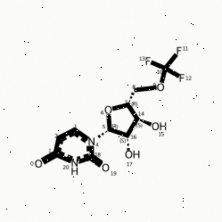 O=c1ccn([C@@H]2O[C@H](COC(F)(F)F)[C@@H](O)[C@@H]2O)c(=O)[nH]1